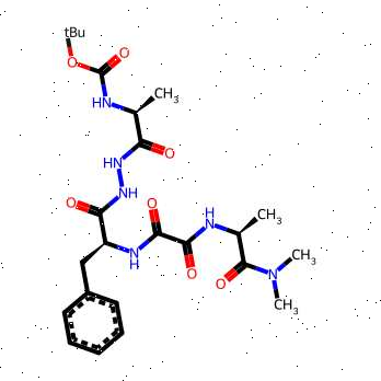 C[C@H](NC(=O)OC(C)(C)C)C(=O)NNC(=O)[C@H](Cc1ccccc1)NC(=O)C(=O)N[C@@H](C)C(=O)N(C)C